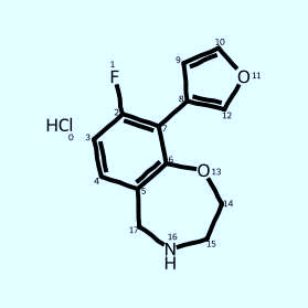 Cl.Fc1ccc2c(c1-c1ccoc1)OCCNC2